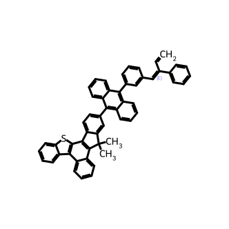 C=C/C(=C\c1cccc(-c2c3ccccc3c(-c3ccc4c(c3)C(C)(C)c3c-4c4sc5ccccc5c4c4ccccc34)c3ccccc23)c1)c1ccccc1